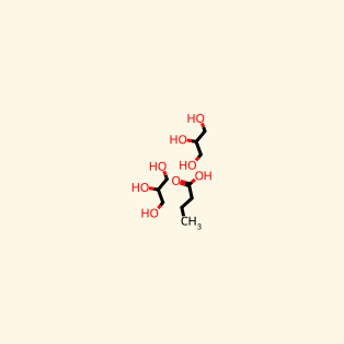 CCCC(=O)O.OCC(O)CO.OCC(O)CO